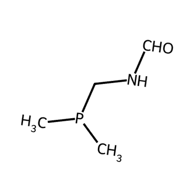 CP(C)CNC=O